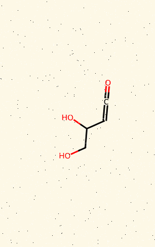 O=C=CC(O)CO